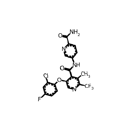 Cc1c(C(F)(F)F)ncc(Oc2ccc(F)cc2Cl)c1C(=O)Nc1ccc(C(N)=O)nc1